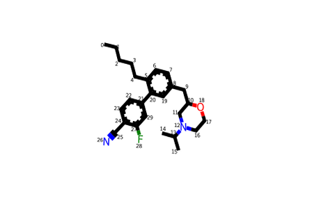 CCCCCc1ccc(CC2CN(C(C)C)CCO2)cc1-c1ccc(C#N)c(F)c1